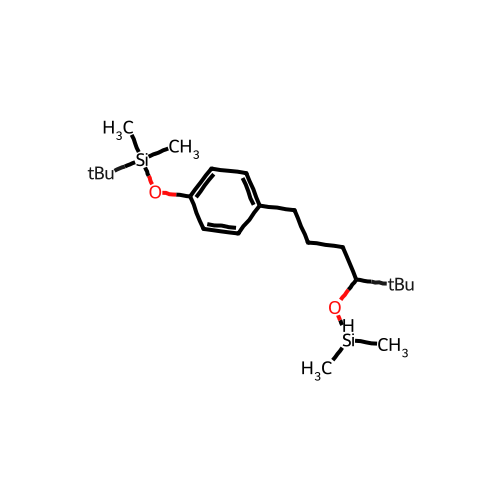 C[SiH](C)OC(CCCc1ccc(O[Si](C)(C)C(C)(C)C)cc1)C(C)(C)C